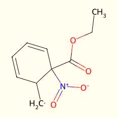 [CH2]C1C=CC=CC1(C(=O)OCC)[N+](=O)[O-]